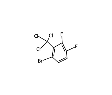 Fc1ccc(Br)c(C(Cl)(Cl)Cl)c1F